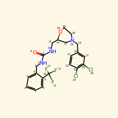 O=C(NCc1ccccc1C(F)(F)F)NCC1CN(Cc2ccc(Cl)c(Cl)c2)CCO1